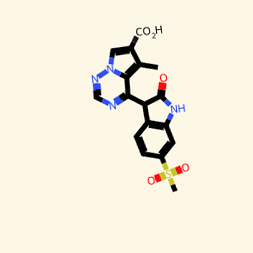 Cc1c(C(=O)O)cn2ncnc(C3C(=O)Nc4cc(S(C)(=O)=O)ccc43)c12